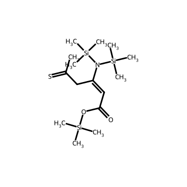 CC(=S)CC(=CC(=O)O[Si](C)(C)C)N([Si](C)(C)C)[Si](C)(C)C